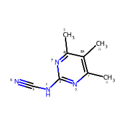 Cc1nc(NC#N)nc(C)c1C